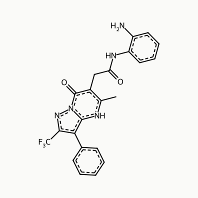 Cc1[nH]c2c(-c3ccccc3)c(C(F)(F)F)nn2c(=O)c1CC(=O)Nc1ccccc1N